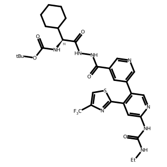 CCNC(=O)Nc1cc(-c2nc(C(F)(F)F)cs2)c(-c2cncc(C(=O)NNC(=O)[C@@H](NC(=O)OC(C)(C)C)C3CCCCC3)c2)cn1